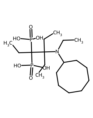 CCN(C1CCCCCCC1)C(CC)(CC)C(CC)(P(=O)(O)O)P(=O)(O)O